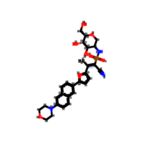 C/C(=C(/C#N)S(=O)(=O)NC1CO[C@H](CO)[C@@H](O)[C@@H]1O)c1ccc(-c2ccc3cc(N4CCOCC4)ccc3c2)o1